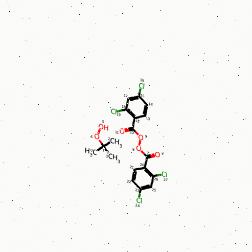 CC(C)(C)OO.O=C(OOC(=O)c1ccc(Cl)cc1Cl)c1ccc(Cl)cc1Cl